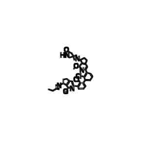 CCC1CN(C2CCc3cc(-c4cccc(-c5cccc(-c6cc7c(c(OC)n6)[C@@H](N6CC8(CNC(=O)C8)C6)CC7)c5Cl)c4Cl)nc(OC)c32)C1